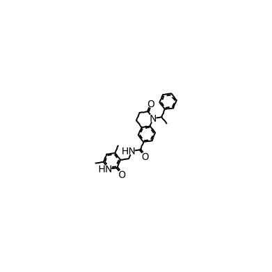 Cc1cc(C)c(CNC(=O)c2ccc3c(c2)CCC(=O)N3C(C)c2ccccc2)c(=O)[nH]1